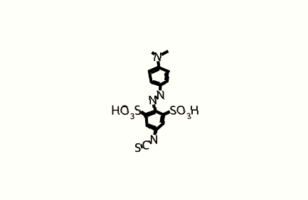 CN(C)c1ccc(N=Nc2c(S(=O)(=O)O)cc(N=C=S)cc2S(=O)(=O)O)cc1